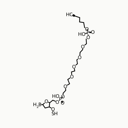 BC1CC(OS)C(COP(=O)(O)OCCOCCOCCOCCOCCOCCOP(=O)(O)OCCCCC#C)O1